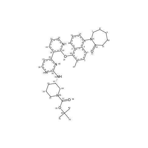 Cc1ccc2c(N3CCCCCC3=O)cccc2c1Oc1ncccc1-c1ccnc(N[C@H]2CCCN(C(=O)OC(C)(C)C)C2)n1